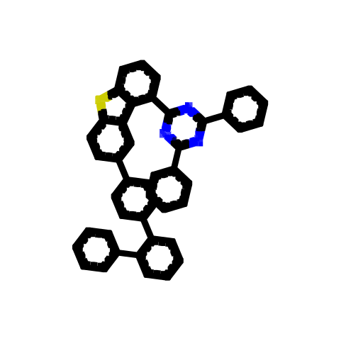 c1ccc(-c2nc(-c3ccccc3)nc(-c3cccc4sc5ccc(-c6ccc(-c7ccccc7-c7ccccc7)cc6)cc5c34)n2)cc1